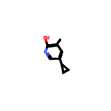 Cc1cc(C2CC2)cnc1O